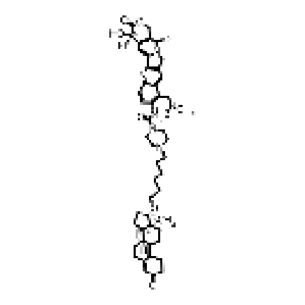 CC[C@@]1(O)C(=O)OCc2c1cc1n(c2=O)Cc2cc3c(CN(C)C)c(OC(=O)N4CCN(CCCCCCO[C@H]5CC[C@H]6[C@@H]7CCC8=CC(=O)CCC8=C7CC[C@]56C)CC4)ccc3nc2-1